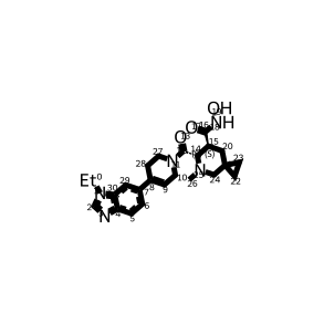 CCn1cnc2ccc(C3=CCN(C(=O)[C@@H]4[C@@H](C(=O)NO)CC5(CC5)CN4C)CC3)cc21